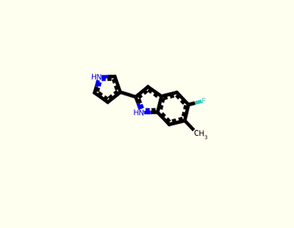 Cc1cc2[nH]c(-c3cc[nH]c3)cc2cc1F